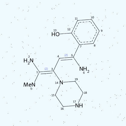 CN/C(N)=C(/C=C(\N)c1ccccc1O)N1CCNCC1